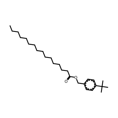 CCCCCCCCCCCCCCCC(=O)OCc1ccc(C(C)(C)C)cc1